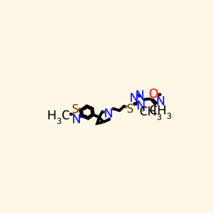 Cc1nc2cc(C34CC3CN(CCCSc3nnc(-c5ocnc5C)n3C)C4)ccc2s1